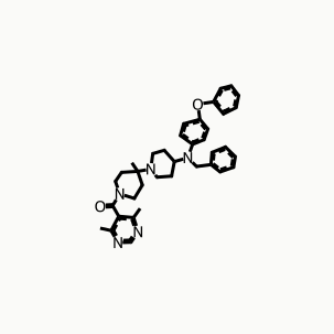 Cc1ncnc(C)c1C(=O)N1CCC(C)(N2CCC(N(Cc3ccccc3)c3ccc(Oc4ccccc4)cc3)CC2)CC1